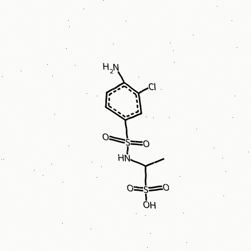 CC(NS(=O)(=O)c1ccc(N)c(Cl)c1)S(=O)(=O)O